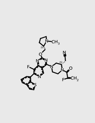 C=C(F)C(=O)N1CCN(c2nc(OC[C@@H]3CCCN3C)nc3c(F)c(-c4cccc5ccsc45)ncc23)C[C@@H]1CC#N